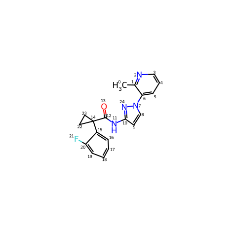 Cc1ncccc1-n1ccc(NC(=O)C2(c3ccccc3F)CC2)n1